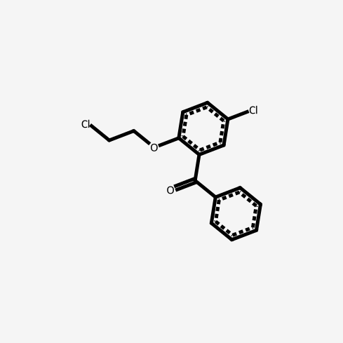 O=C(c1ccccc1)c1cc(Cl)ccc1OCCCl